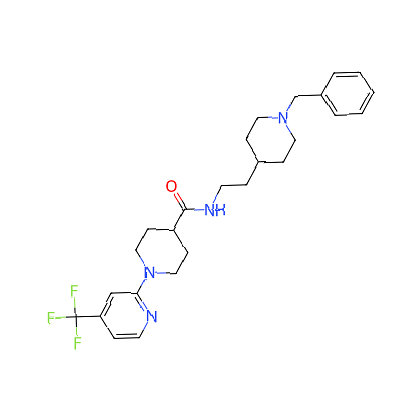 O=C(NCCC1CCN(Cc2ccccc2)CC1)C1CCN(c2cc(C(F)(F)F)ccn2)CC1